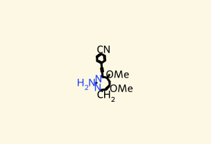 C=C1/C=C(/OC)CC(OC)/C(C#Cc2ccc(C#N)cc2)=N\C(N)=N/1